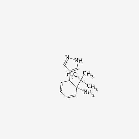 CC(C)(C)C1(N)C=CC=CC1c1cn[nH]c1